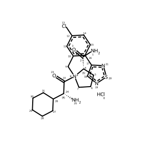 Cl.NC(=O)[C@@H]1CCC[N+]1(Cc1cc(Cl)ccc1-c1cnsn1)C(=O)[C@H](N)C1CCCCC1